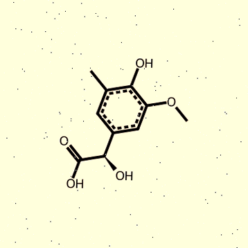 COc1cc([C@@H](O)C(=O)O)cc(C)c1O